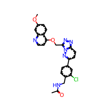 COc1ccc2c(OCc3nnc4ccc(-c5ccc(CNC(C)=O)c(Cl)c5)nn34)ccnc2c1